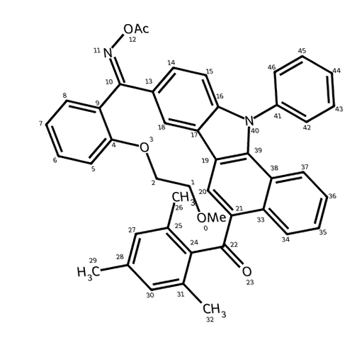 COCCOc1ccccc1/C(=N/OC(C)=O)c1ccc2c(c1)c1cc(C(=O)c3c(C)cc(C)cc3C)c3ccccc3c1n2-c1ccccc1